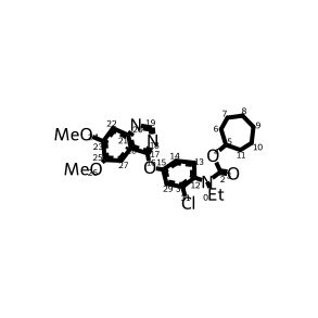 CCN(C(=O)OC1CCCCCC1)c1ccc(Oc2ncnc3cc(OC)c(OC)cc23)cc1Cl